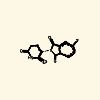 O=C1CC[C@H](N2C(=O)c3ccc(F)cc3C2=O)C(=O)N1